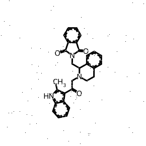 Cc1[nH]c2ccccc2c1C(=O)CN1CCc2ccccc2C1CN1C(=O)c2ccccc2C1=O